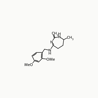 C=C1N=C(NCc2ccc(OC)cc2OC)CCC(C)N1